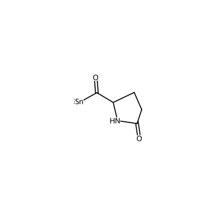 O=C1CCC([C](=O)[Sn])N1